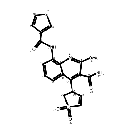 COc1nc2c(NC(=O)c3ccsc3)cccc2c([C@H]2C=CS(=O)(=O)C2)c1C(N)=O